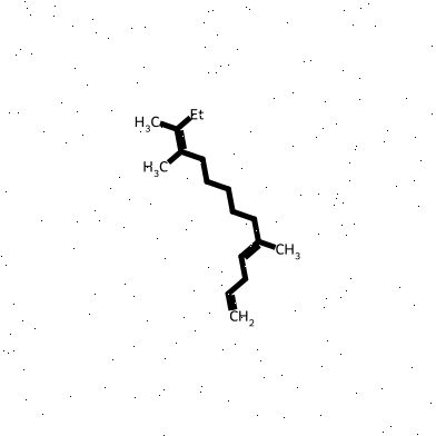 C=CCC=C(C)CCCCCC(C)=C(C)CC